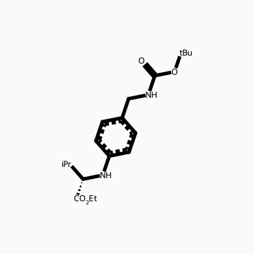 CCOC(=O)[C@@H](Nc1ccc(CNC(=O)OC(C)(C)C)cc1)C(C)C